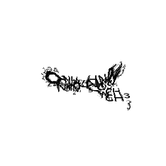 CN(C)CCCC(NC(=O)Nc1nccs1)c1ccc(C(=O)Nc2ccccc2N)nc1